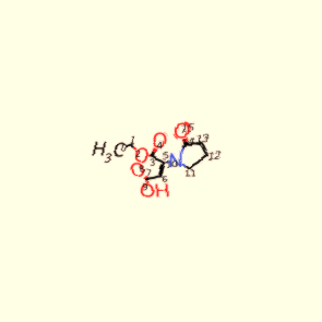 CCOC(=O)C(=CC(=O)O)N1CCCC1=O